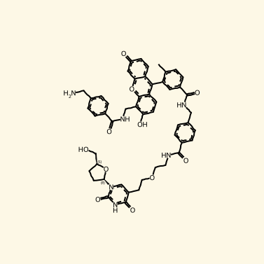 Cc1ccc(C(=O)NCc2ccc(C(=O)NCCOCCc3cn([C@H]4CC[C@@H](CO)O4)c(=O)[nH]c3=O)cc2)cc1-c1c2ccc(=O)cc-2oc2c(CNC(=O)c3ccc(CN)cc3)c(O)ccc12